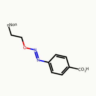 CCCCCCCCCCCON=Nc1ccc(C(=O)O)cc1